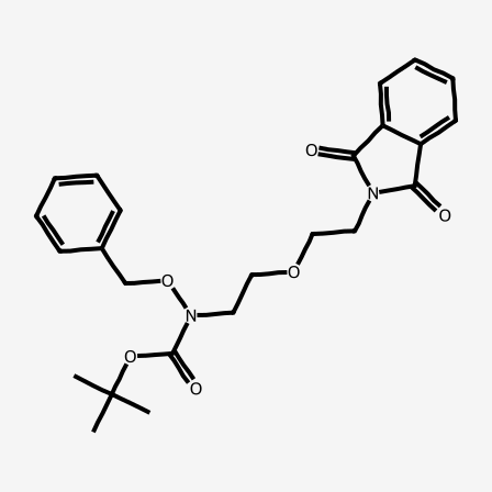 CC(C)(C)OC(=O)N(CCOCCN1C(=O)c2ccccc2C1=O)OCc1ccccc1